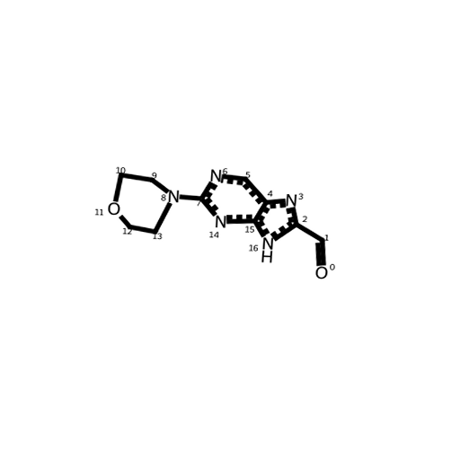 O=Cc1nc2cnc(N3CCOCC3)nc2[nH]1